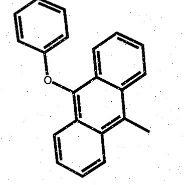 Cc1c2ccccc2c(Oc2ccccc2)c2ccccc12